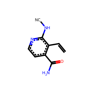 C=Cc1c(C(N)=O)ccnc1NC#N